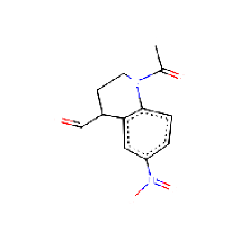 CC(=O)N1CCC(C=O)c2cc([N+](=O)[O-])ccc21